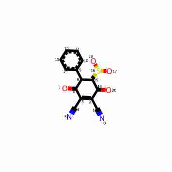 N#CC1=C(C#N)C(=O)C(c2ccccc2)C(=S(=O)=O)C1=O